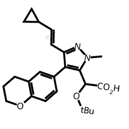 Cn1nc(/C=C/C2CC2)c(-c2ccc3c(c2)CCCO3)c1C(OC(C)(C)C)C(=O)O